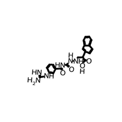 N=C(N)Nc1cccc(C(=O)NC(=O)NNCC(C(=O)O)c2ccc3ccccc3c2)c1